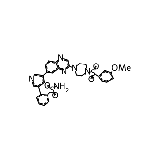 COc1cccc(S(=O)(=O)N2CCN(c3cnc4ccc(-c5cncc(-c6ccccc6S(N)(=O)=O)c5)cc4n3)CC2)c1